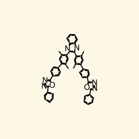 Cc1cc(-c2nc3ccccc3nc2-c2cc(C)c(-c3ccc(-c4nnc(-c5ccccc5)o4)cc3)cc2C)c(C)cc1-c1ccc(-c2nnc(-c3ccccc3)o2)cc1